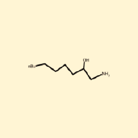 CCCCCCCCC(O)CN